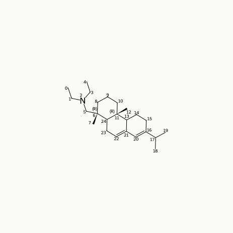 CCN(CC)C[C@]1(C)CCC[C@]2(C)C3CCC(C(C)C)=CC3=CCC12